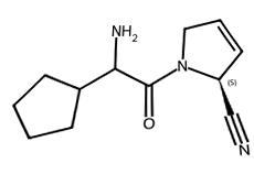 N#C[C@@H]1C=CCN1C(=O)C(N)C1CCCC1